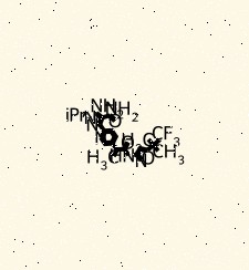 CC(C(=O)Nc1cc(C(C)(C)CC(F)(F)F)on1)c1ccc(-c2nn(C(C)C)c(N)c2C(N)=O)nc1